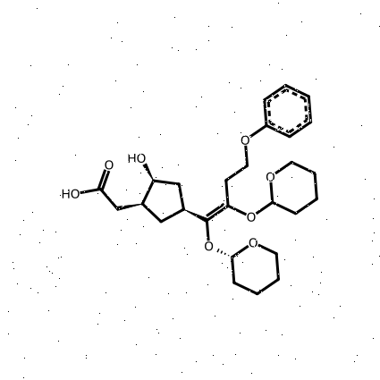 O=C(O)C[C@@H]1C[C@H](C(O[C@H]2CCCCO2)=C(CCOc2ccccc2)OC2CCCCO2)C[C@@H]1O